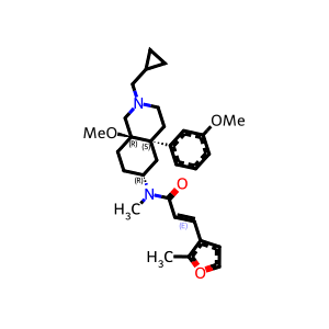 COc1cccc([C@@]23CCN(CC4CC4)C[C@@]2(OC)CC[C@@H](N(C)C(=O)/C=C/c2ccoc2C)C3)c1